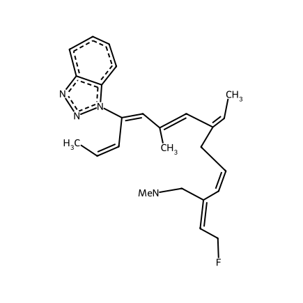 C\C=C/C(=C\C(C)=C\C(=C/C)C/C=C\C(=C/CF)CNC)n1nnc2ccccc21